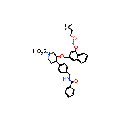 C[Si](C)(C)CCOCOc1cc(COC2CN(C(=O)O)CCC2c2ccc(CNC(=O)c3ccccc3)cc2)cc2ccccc12